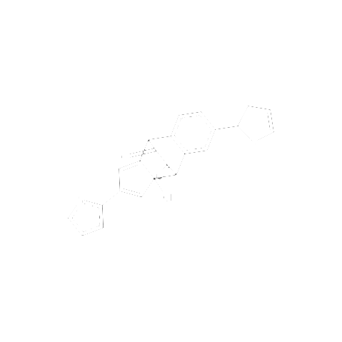 CC12C=C(c3cccs3)C=C1C1C(=O)C(=O)C2c2cc(C3CC=CS3)ccc21